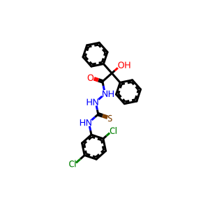 O=C(NNC(=S)Nc1cc(Cl)ccc1Cl)C(O)(c1ccccc1)c1ccccc1